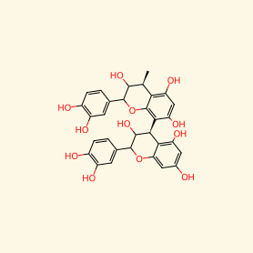 C[C@H]1c2c(O)cc(O)c([C@H]3c4c(O)cc(O)cc4OC(c4ccc(O)c(O)c4)C3O)c2OC(c2ccc(O)c(O)c2)C1O